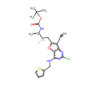 C#Cc1c(C[C@H](F)[C@@H](C)NC(=O)OC(C)(C)C)oc2c(NCc3cccs3)nc(Cl)nc12